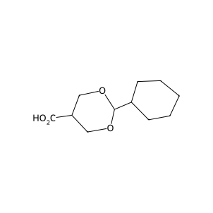 O=C(O)C1COC(C2CCCCC2)OC1